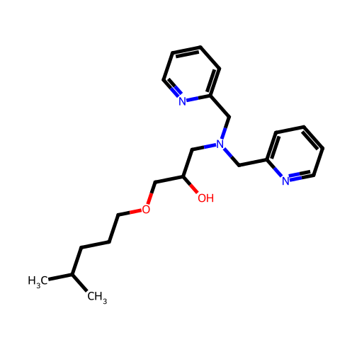 CC(C)CCCOCC(O)CN(Cc1ccccn1)Cc1ccccn1